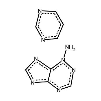 Nn1ncnc2ncnc1-2.c1cncnc1